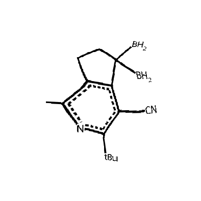 BC1(B)CCc2c(C)nc(C(C)(C)C)c(C#N)c21